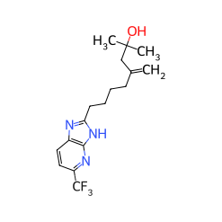 C=C(CCCCc1nc2ccc(C(F)(F)F)nc2[nH]1)CC(C)(C)O